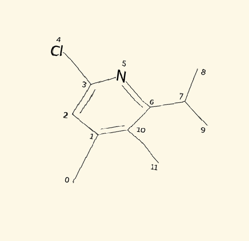 Cc1cc(Cl)nc(C(C)C)c1C